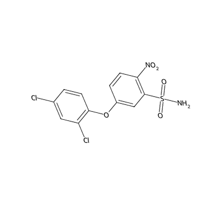 NS(=O)(=O)c1cc(Oc2ccc(Cl)cc2Cl)ccc1[N+](=O)[O-]